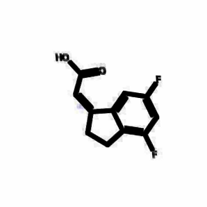 O=C(O)/C=C1/CCc2c(F)cc(F)cc21